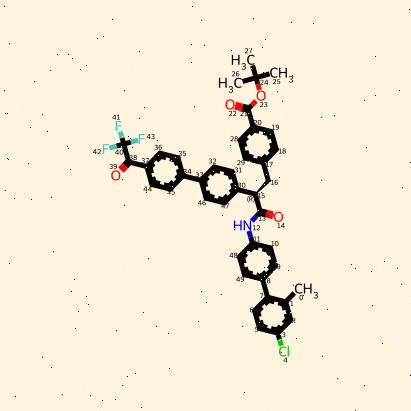 Cc1cc(Cl)ccc1-c1ccc(NC(=O)[C@H](Cc2ccc(C(=O)OC(C)(C)C)cc2)c2ccc(-c3ccc(C(=O)C(F)(F)F)cc3)cc2)cc1